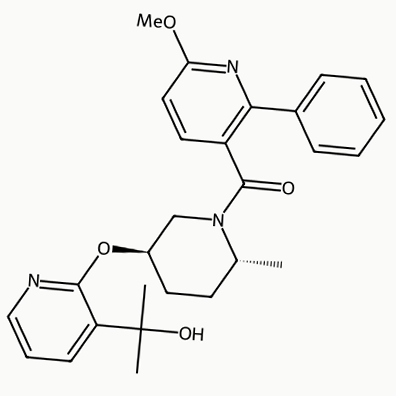 COc1ccc(C(=O)N2C[C@H](Oc3ncccc3C(C)(C)O)CC[C@H]2C)c(-c2ccccc2)n1